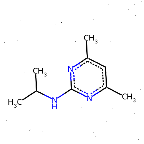 Cc1cc(C)nc(NC(C)C)n1